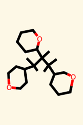 CC(C)(C1CCOCC1)C(C)(C1CCCCO1)C(C)(C)C1CCCOC1